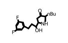 CCCCC1CNC(C(O)CCc2cc(F)cc(F)c2)CC1=O